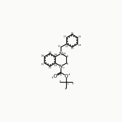 CC(C)(C)OC(=O)N1CCN(Cc2ccccc2)c2ccccc21